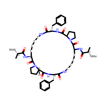 CN[C@@H](C)C(=O)NC1CCCCNC(=O)[C@H](Cc2ccccc2)NC(=O)[C@@H]2CCCN2C(=O)[C@@H](NC(=O)[C@H](C)NC)CCCCNC(=O)[C@H](Cc2ccccc2)NC(=O)C2CCCN2C1=O